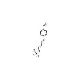 CS(=O)(=O)OCCCOc1ccc(C=O)cc1